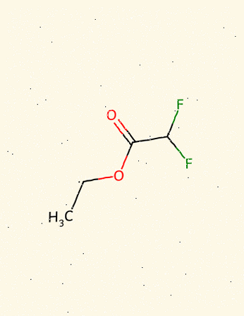 C[CH]OC(=O)C(F)F